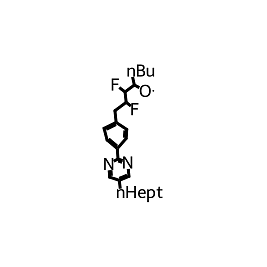 CCCCCCCc1cnc(-c2ccc(CC(F)C(F)C([O])CCCC)cc2)nc1